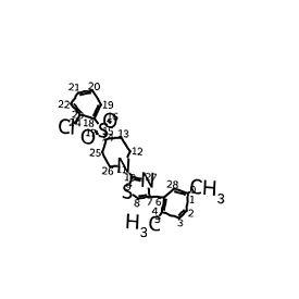 Cc1ccc(C)c(-c2csc(N3CCC(S(=O)(=O)c4ccccc4Cl)CC3)n2)c1